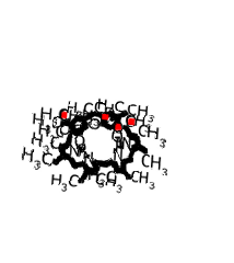 CCOC(=O)c1c(C)c(CC)c2n1P1Oc3cc(C(C)(C)C)cc4c3Oc3c(cc(C(C)(C)C)cc3C4(C)C)OP3n4c(c(C)c(CC)c4Cc4c(CC)c(C)c(C(=O)OCC)n43)Cc3c(C)c(CC)c(n31)C2